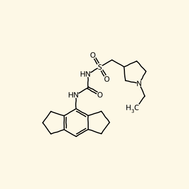 CCN1CCC(CS(=O)(=O)NC(=O)Nc2c3c(cc4c2CCC4)CCC3)C1